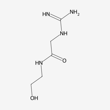 N=C(N)NCC(=O)NCCO